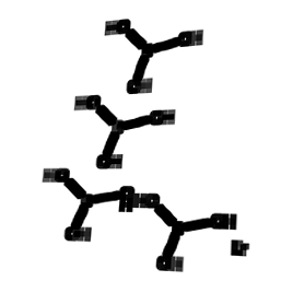 OB(O)O.OB(O)O.OB(O)O.OB(O)O.[Er]